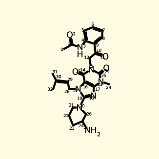 CC(=O)Nc1ccccc1C(=O)Cn1c(=O)c2c(nc(N3CCCC(N)C3)n2CC=C(C)C)n(C)c1=O